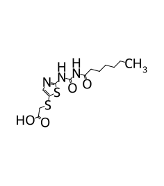 CCCCCCC(=O)NC(=O)Nc1ncc(SCC(=O)O)s1